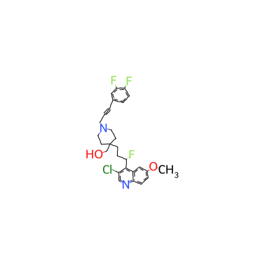 COc1ccc2ncc(Cl)c([C@@H](F)CCC3(CO)CCN(CC#Cc4ccc(F)c(F)c4)CC3)c2c1